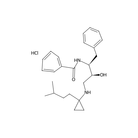 CC(C)CCC1(NC[C@H](O)[C@H](Cc2ccccc2)NC(=O)c2ccccc2)CC1.Cl